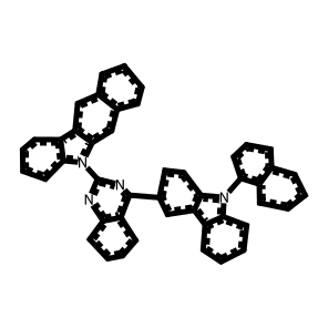 c1ccc2cc3c(cc2c1)c1ccccc1n3-c1nc(-c2ccc3c(c2)c2ccccc2n3-c2cccc3ccccc23)c2ccccc2n1